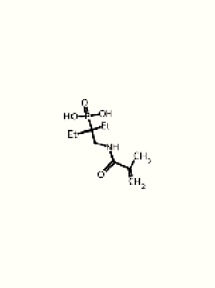 C=C(C)C(=O)NCC(CC)(CC)P(=O)(O)O